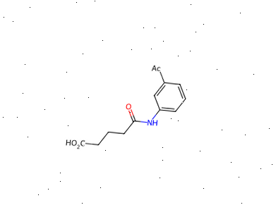 CC(=O)c1cccc(NC(=O)CCCC(=O)O)c1